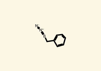 [N-]=[N+]=BCc1ccccc1